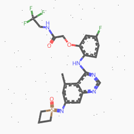 Cc1cc(N=S2(=O)CCC2)cc2ncnc(Nc3ccc(F)cc3OCC(=O)NCC(F)(F)F)c12